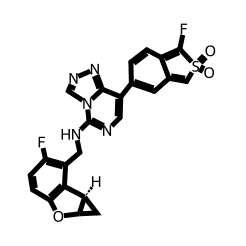 O=S1(=O)C=c2cc(-c3cnc(NCc4c(F)ccc5c4[C@H]4CC4O5)n4cnnc34)ccc2=C1F